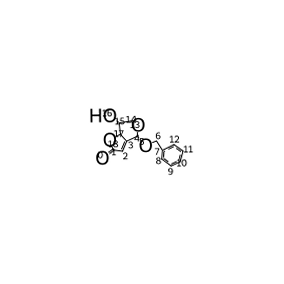 O=C1C=C2C(OCc3ccccc3)OCC(O)C2O1